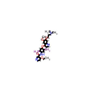 CCOc1ccncc1C(=O)Nc1cc(P)c(Oc2ccnc3cc(OCCCN(C)C)c(OC)cc23)cc1P